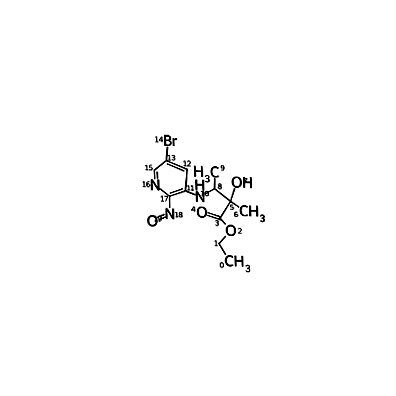 CCOC(=O)C(C)(O)C(C)Nc1cc(Br)cnc1N=O